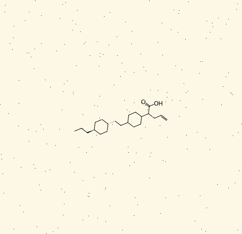 C=CCC(C(=O)O)C1CCC(CC[C@H]2CC[C@H](CCC)CC2)CC1